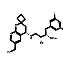 CC(=O)N[C@@H](Cc1cc(F)cc(F)c1)[C@H](O)CN[C@H]1CC2(CCC2)Oc2ncc(CC(C)C)cc21